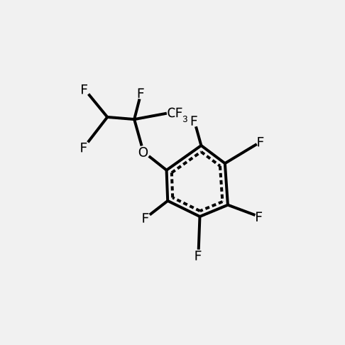 Fc1c(F)c(F)c(OC(F)(C(F)F)C(F)(F)F)c(F)c1F